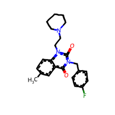 Cc1ccc2c(c1)c(=O)n(Cc1ccc(F)cc1)c(=O)n2CCN1CCCCC1